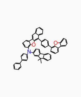 CC1(C)c2ccccc2-c2ccc(N(c3ccc(-c4ccccc4)cc3)c3cccc4c3oc3c(-c5ccc(-c6cccc7c6oc6ccccc67)cc5)c5ccccc5cc34)cc21